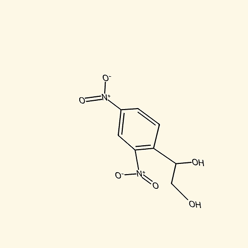 O=[N+]([O-])c1ccc(C(O)CO)c([N+](=O)[O-])c1